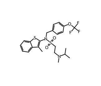 Cc1c(N(Cc2ccc(OC(F)(F)F)cc2)S(=O)(=O)CCN(C)C(C)C)sc2ccccc12